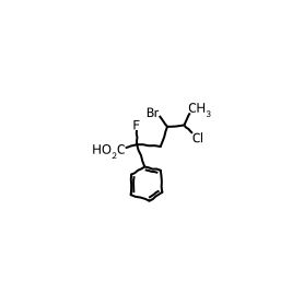 CC(Cl)C(Br)CC(F)(C(=O)O)c1ccccc1